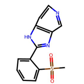 CS(=O)(=O)c1ccccc1-c1nc2cnccc2[nH]1